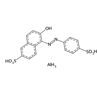 O=S(=O)(O)c1ccc(N=Nc2c(O)ccc3cc(S(=O)(=O)O)ccc23)cc1.[AlH3]